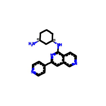 N[C@@H]1CCC[C@H](Nc2nc(-c3ccncc3)cc3cnccc23)C1